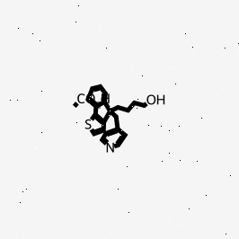 CC(=O)O.OCCCCC1(Cc2ccncc2)c2ccccc2-c2sccc21